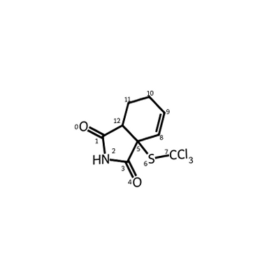 O=C1NC(=O)C2(SC(Cl)(Cl)Cl)C=CCCC12